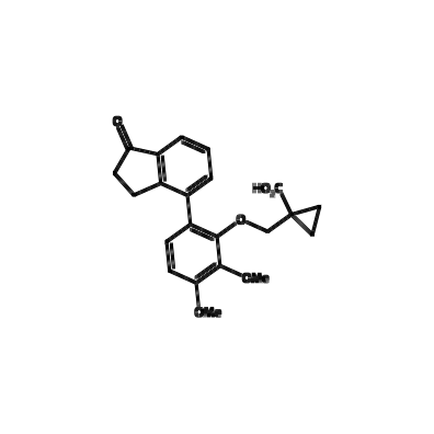 COc1ccc(-c2cccc3c2CCC3=O)c(OCC2(C(=O)O)CC2)c1OC